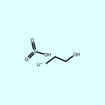 CCCO.O=[S-](=O)O.[Li+]